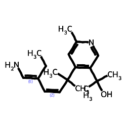 CCC(/C=C\C(C)(C)c1cc(C)ncc1C(C)(C)O)=C\N